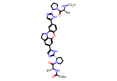 COC(=O)N[C@H](C(=O)N1CCC[C@H]1c1ncc(-c2cc3c4c(c2)Oc2ccc(-c5cnc([C@@H]6CCCN6C(=O)[C@@H](NC(=O)O)C(C)C)[nH]5)cc2N4CC3)[nH]1)C(C)C